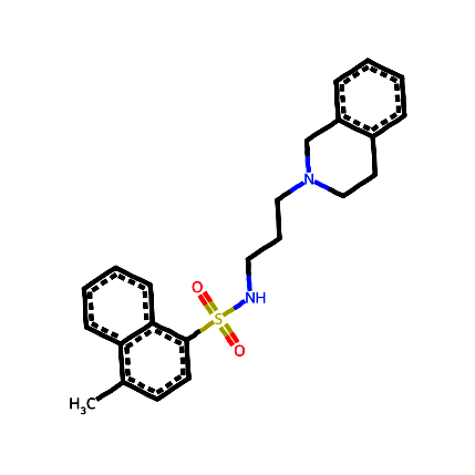 Cc1ccc(S(=O)(=O)NCCCN2CCc3ccccc3C2)c2ccccc12